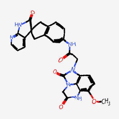 COc1ccc2c3c1NC(=O)Cn3c(=O)n2CC(=O)Nc1ccc2c(c1)CC1(C2)C(=O)Nc2ncccc21